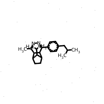 CC1=NN=C(c2ccc(CC(C)C)cc2)C2C3CCC(C12)C3C(C)C